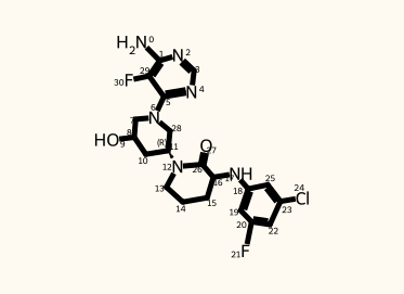 Nc1ncnc(N2CC(O)C[C@@H](N3CCCC(Nc4cc(F)cc(Cl)c4)C3=O)C2)c1F